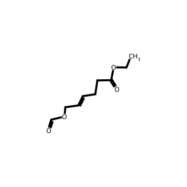 CCOC(=O)CCC=CCOC=O